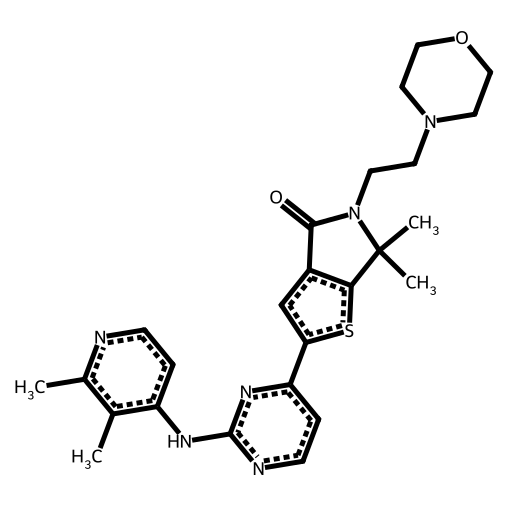 Cc1nccc(Nc2nccc(-c3cc4c(s3)C(C)(C)N(CCN3CCOCC3)C4=O)n2)c1C